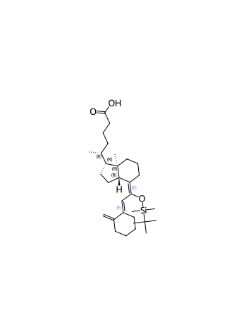 C=C1CCCC/C1=C\C(O[Si](C)(C)C(C)(C)C)=C1\CCC[C@]2(C)[C@@H]([C@H](C)CCCC(=O)O)CC[C@@H]12